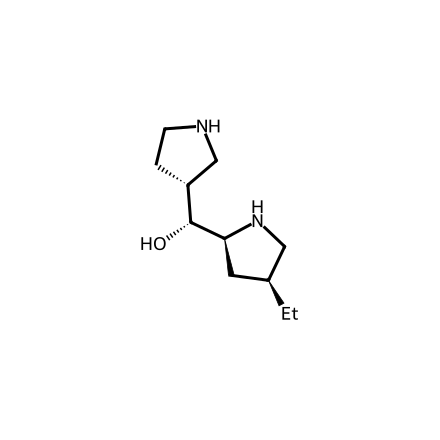 CC[C@@H]1CN[C@H]([C@H](O)[C@@H]2CCNC2)C1